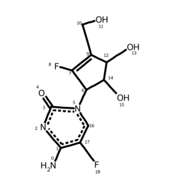 Nc1nc(=O)n(C2C(F)=C(CO)C(O)C2O)cc1F